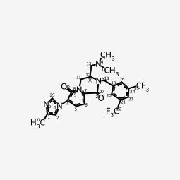 Cc1cn(-c2ccc3n(c2=O)C[C@@H](CN(C)C)N(Cc2cc(C(F)(F)F)cc(C(F)(F)F)c2)C3=O)cn1